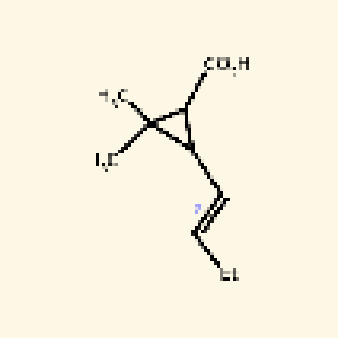 CC/C=C/C1C(C(=O)O)C1(C)C